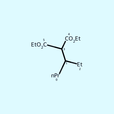 CCCC(CC)C(C(=O)OCC)C(=O)OCC